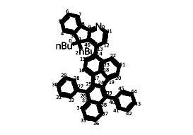 CCCCC1(CCCC)c2ccccc2-c2nccc(-c3ccc4c5c(cccc35)-c3c-4c(-c4ccccc4)c4ccccc4c3-c3ccccc3)c21